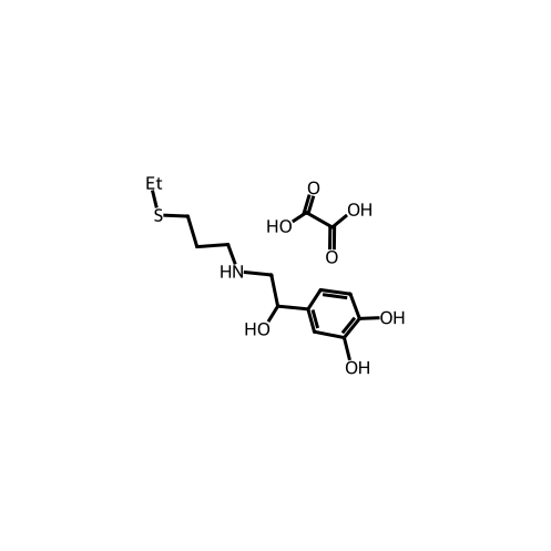 CCSCCCNCC(O)c1ccc(O)c(O)c1.O=C(O)C(=O)O